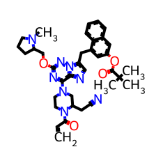 C=CC(=O)N1CCN(c2nc(OCC3CCCN3C)nn3c(Cc4cc(OC(=O)C(C)(C)C)cc5ccccc45)cnc23)CC1CC#N